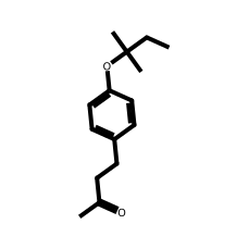 CCC(C)(C)Oc1ccc(CCC(C)=O)cc1